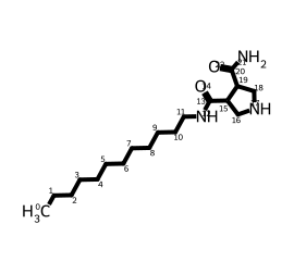 CCCCCCCCCCCCNC(=O)C1CNCC1C(N)=O